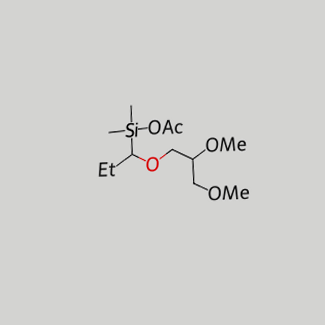 CCC(OCC(COC)OC)[Si](C)(C)OC(C)=O